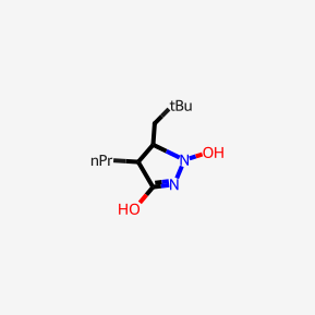 CCCC1C(O)=NN(O)C1CC(C)(C)C